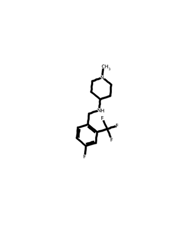 CN1CCC(NCc2ccc(F)cc2C(F)(F)F)CC1